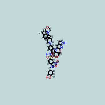 C[C@H]1C[C@]2(COCCN2C2CC3(CCN(c4ccc(C(=O)NS(=O)(=O)c5ccc(NC[C@H]6CC[C@](C)(O)CC6)c([N+](=O)[O-])c5)c(N5c6cc7cc[nH]c7nc6O[C@H]6COCC[C@@H]65)c4)CC3)C2)c2ccccc21